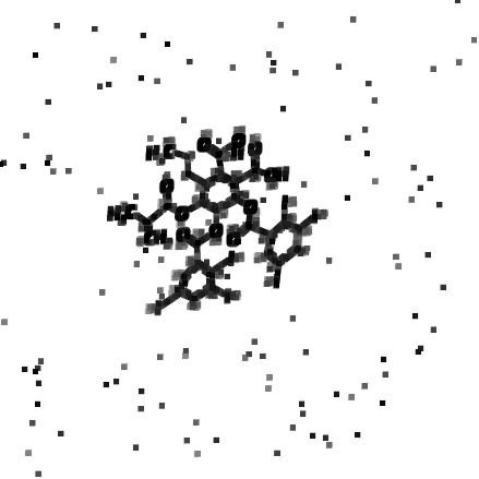 C=C(C)C(=O)Oc1c(CCC)c(C(=O)O)c(C(=O)O)c(OC(=O)c2cc(I)cc(I)c2I)c1OC(=O)c1cc(I)cc(I)c1I